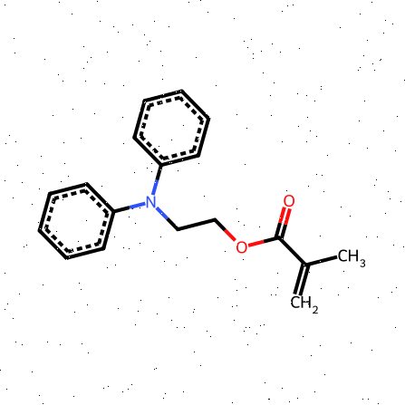 C=C(C)C(=O)OCCN(c1ccccc1)c1ccccc1